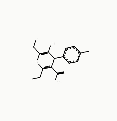 COC(=O)C1=C(CC(C)C)NC(CC(C)C)=C(C#N)C1c1ccc(C)cc1